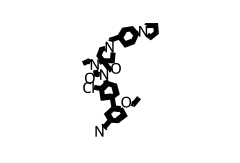 CCOc1ccc(C#N)cc1-c1ccc(N2C(=O)N(CC)C3(CCN(Cc4ccc(N5CCCC5)cc4)CC3)C2=O)c(Cl)c1